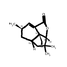 C[C@H]1C=C2C(=O)O[C@@H]3C(C)(C)C[C@H](C1)[C@]23O